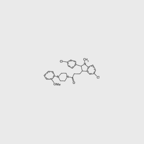 COc1ccccc1N1CCN(C(=O)CCC2c3cc(Cl)ccc3N(C)C2c2ccc(Cl)cc2)CC1